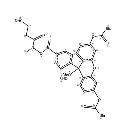 COC1(c2ccc(C(=O)ON(C)C(=O)CCC=O)cc2C=O)c2ccc(OC(=O)C(C)(C)C)cc2Oc2cc(OC(=O)C(C)(C)C)ccc21